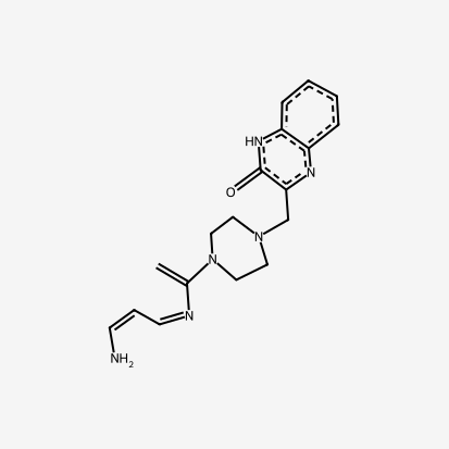 C=C(/N=C\C=C/N)N1CCN(Cc2nc3ccccc3[nH]c2=O)CC1